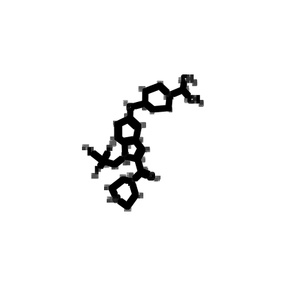 CC(C)N1CCC(Oc2ccc3c(c2)cc(C(=O)N2CCOCC2)n3CC(F)(F)F)CC1